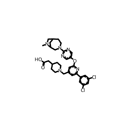 CN1CC2CCN(c3ncc(Oc4cc(CN5CCC(CC(=O)O)CC5)cc(-c5cc(Cl)cc(Cl)c5)n4)cn3)CC1C2